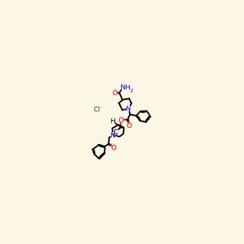 NC(=O)C1CCN(C(C(=O)O[C@H]2C[N+]3(CC(=O)c4ccccc4)CCC2CC3)c2ccccc2)CC1.[Cl-]